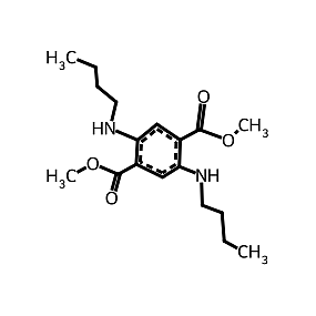 CCCCNc1cc(C(=O)OC)c(NCCCC)cc1C(=O)OC